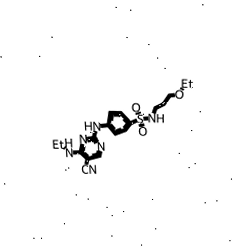 CCNc1nc(Nc2ccc(S(=O)(=O)NCCCOCC)cc2)ncc1C#N